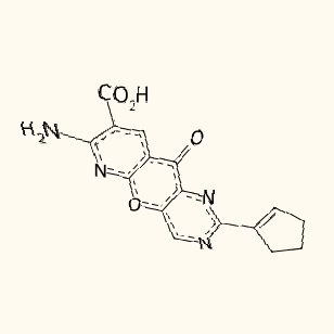 Nc1nc2oc3cnc(C4=CCCC4)nc3c(=O)c2cc1C(=O)O